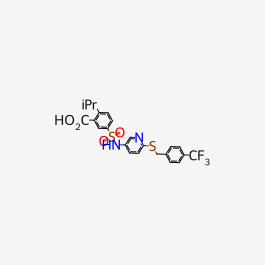 CC(C)c1ccc(S(=O)(=O)Nc2ccc(SCc3ccc(C(F)(F)F)cc3)nc2)cc1C(=O)O